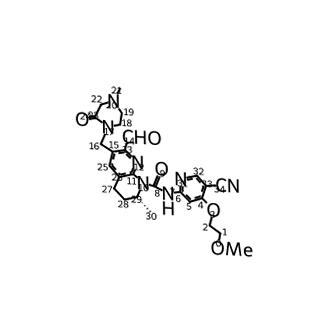 COCCOc1cc(NC(=O)N2c3nc(C=O)c(CN4CCN(C)CC4=O)cc3CC[C@H]2C)ncc1C#N